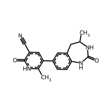 Cc1[nH]c(=O)c(C#N)cc1-c1ccc2c(c1)CC(C)NC(=O)N2